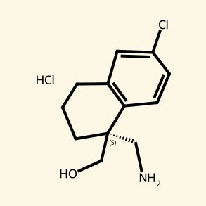 Cl.NC[C@]1(CO)CCCc2cc(Cl)ccc21